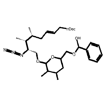 CCCCCCCCCCCC=CC[C@@H](C)[C@@H](C)[C@H](COC1OC(COC(O)c2ccccc2)CC(C)C1C)N=[N+]=[N-]